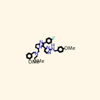 COCCN(Cc1cccc(OC)c1)CC1CCc2nc(-c3ccc(F)cc3)c(-c3ccnc(NCc4ccc(OC)cc4)n3)n21